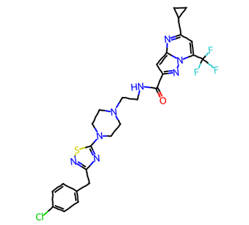 O=C(NCCN1CCN(c2nc(Cc3ccc(Cl)cc3)ns2)CC1)c1cc2nc(C3CC3)cc(C(F)(F)F)n2n1